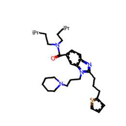 CC(C)CCN(CCC(C)C)C(=O)c1ccc2nc(CCCc3cccs3)n(CCCN3CCCCC3)c2c1